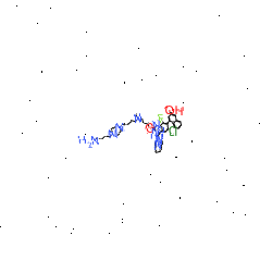 CN(CCCCN1CCN(CCCCN)CC1)CCCOc1nc(N2CC3CCC(C2)N3)c2cc(Cl)c(-c3cc(O)cc4ccccc34)c(F)c2n1